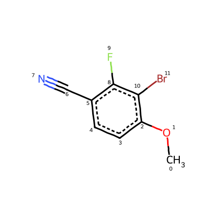 COc1ccc(C#N)c(F)c1Br